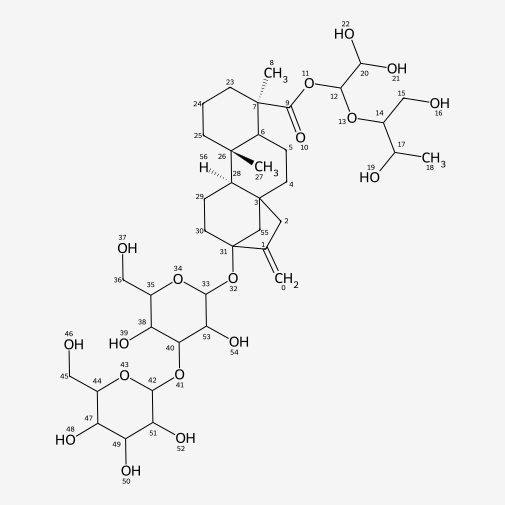 C=C1CC23CCC4[C@](C)(C(=O)OC(OC(CO)C(C)O)C(O)O)CCC[C@@]4(C)[C@@H]2CCC1(OC1OC(CO)C(O)C(OC2OC(CO)C(O)C(O)C2O)C1O)C3